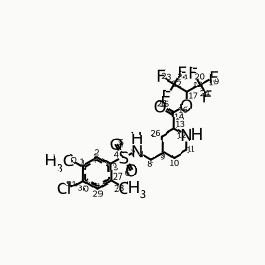 Cc1cc(S(=O)(=O)NCC2CCNC(C(=O)OC(C(F)(F)F)C(F)(F)F)C2)c(C)cc1Cl